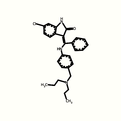 CCCN(CCC)Cc1ccc(NC(=C2C(=O)Nc3cc(Cl)ccc32)c2ccccc2)cc1